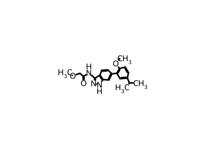 COCC(=O)Nc1n[nH]c2cc(-c3cc(C(C)C)ccc3OC)ccc12